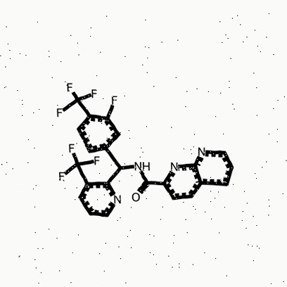 O=C(NC(c1ccc(C(F)(F)F)c(F)c1)c1ncccc1C(F)(F)F)c1ccc2cccnc2n1